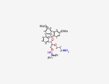 COc1ccc(C(OCC(COPN(C(C)C)C(C)C)OCCCN)(c2ccccc2)c2ccc(OC)cc2)cc1